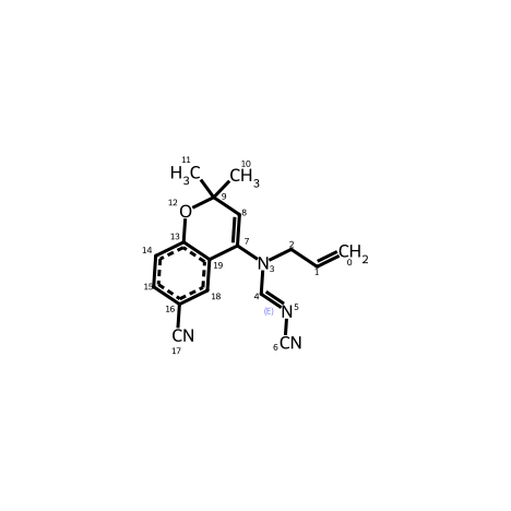 C=CCN(/C=N/C#N)C1=CC(C)(C)Oc2ccc(C#N)cc21